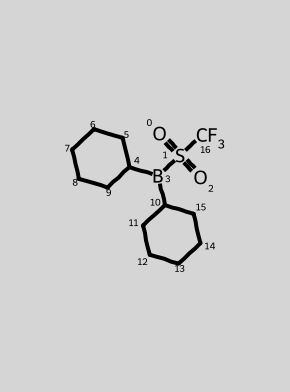 O=S(=O)(B(C1CCCCC1)C1CCCCC1)C(F)(F)F